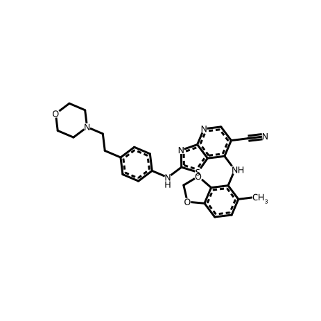 Cc1ccc2c(c1Nc1c(C#N)cnc3nc(Nc4ccc(CCN5CCOCC5)cc4)sc13)OCO2